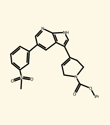 CC(C)OC(=O)N1CC=C(c2c[nH]c3ncc(-c4cccc(S(C)(=O)=O)c4)cc23)CC1